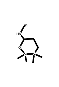 CC(C)NC1CC[Si](C)(C)[Si](C)(C)O1